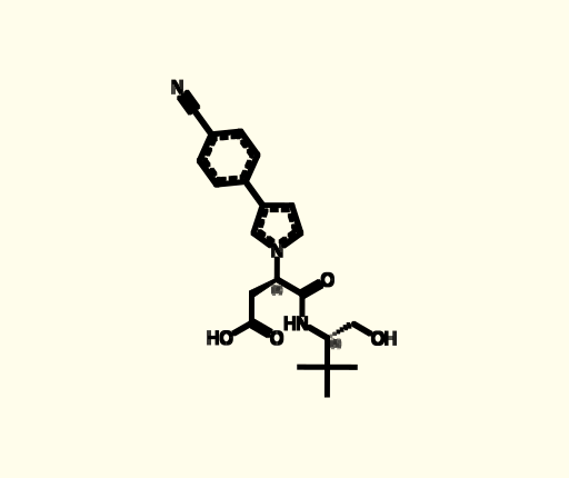 CC(C)(C)[C@@H](CO)NC(=O)[C@@H](CC(=O)O)n1ccc(-c2ccc(C#N)cc2)c1